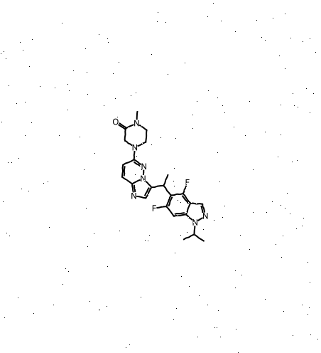 CC(c1c(F)cc2c(cnn2C(C)C)c1F)c1cnc2ccc(N3CCN(C)C(=O)C3)nn12